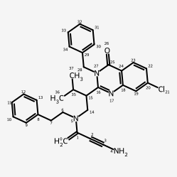 C=C(C#CN)N(CCc1ccccc1)CC(c1nc2cc(Cl)ccc2c(=O)n1Cc1ccccc1)C(C)C